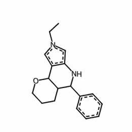 CCn1cc2c(c1)C1OCCCC1C(c1ccccc1)N2